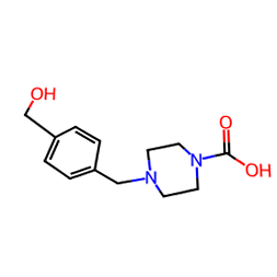 O=C(O)N1CCN(Cc2ccc(CO)cc2)CC1